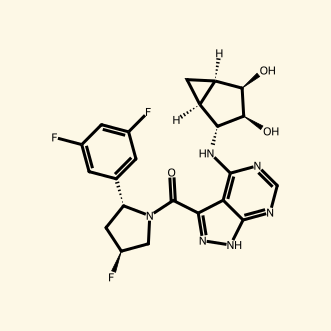 O=C(c1n[nH]c2ncnc(N[C@H]3[C@H](O)[C@H](O)[C@@H]4C[C@@H]43)c12)N1C[C@@H](F)C[C@@H]1c1cc(F)cc(F)c1